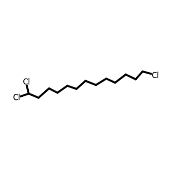 ClCCCCCCCCCCCCC(Cl)Cl